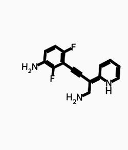 NC/C(C#Cc1c(F)ccc(N)c1F)=C1/C=CC=CN1